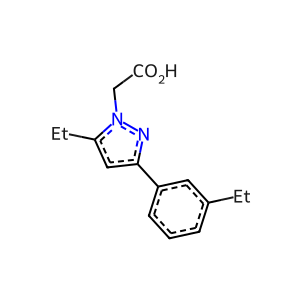 CCc1cccc(-c2cc(CC)n(CC(=O)O)n2)c1